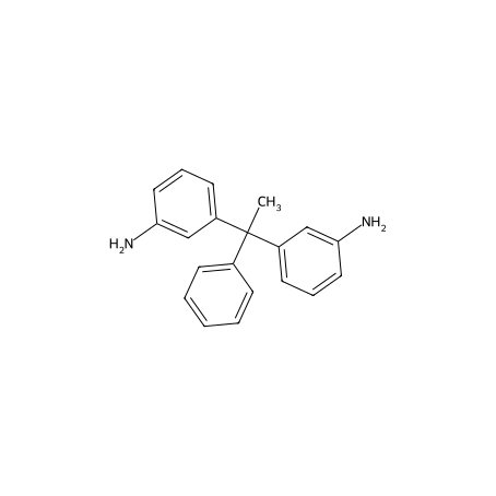 CC(c1ccccc1)(c1cccc(N)c1)c1cccc(N)c1